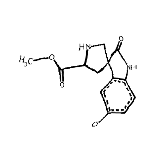 COC(=O)C1C[C@@]2(CN1)C(=O)Nc1ccc(Cl)cc12